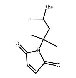 CC(CC(C)(C)N1C(=O)C=CC1=O)C(C)(C)C